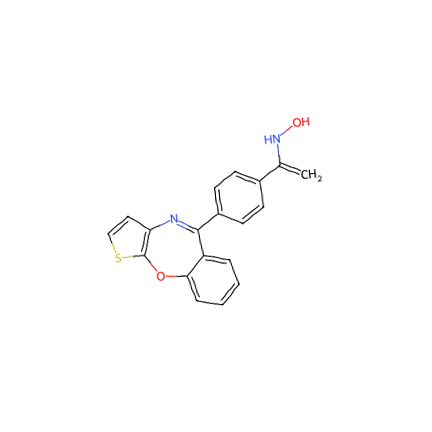 C=C(NO)c1ccc(C2=Nc3ccsc3Oc3ccccc32)cc1